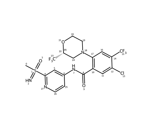 CS(=N)(=O)c1cc(NC(=O)c2cc(Cl)c(C(F)(F)F)cc2N2CCO[C@@H](C(F)(F)F)C2)ccn1